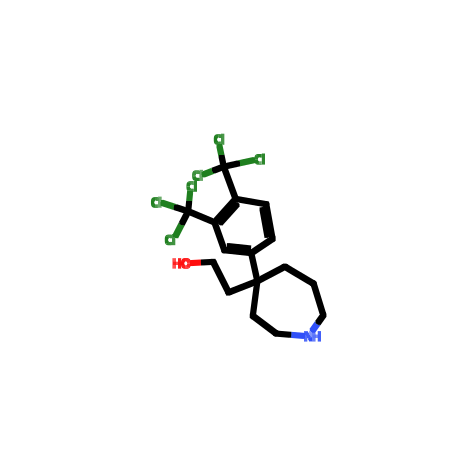 OCCC1(c2ccc(C(Cl)(Cl)Cl)c(C(Cl)(Cl)Cl)c2)CCCNCC1